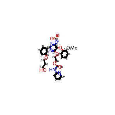 COc1ccccc1Oc1c(N=S(=O)=O)ncnc1OCCOC(=O)Nc1ccccn1.OCCCOc1ccccc1